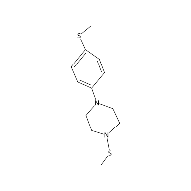 CSc1ccc(N2CCN(SC)CC2)cc1